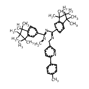 C=N/C(=N\C(=N/Cc1ccc(-c2ccc(C)cc2)nc1)c1ccc2c(c1)C(C)(C)C(C)(C)C2(C)C)c1ccc2c(c1)C(C)(C)C(C)(C)C2(C)C